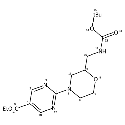 CCOC(=O)c1cnc(N2CCOC(CNC(=O)OC(C)(C)C)C2)nc1